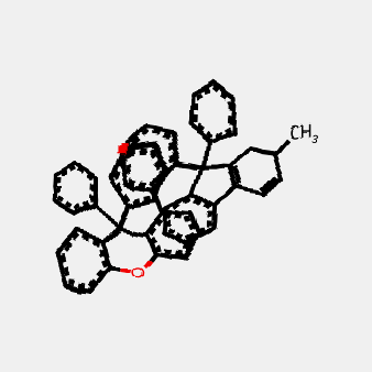 CC1C=CC2=C(C1)C(c1ccccc1)(c1ccccc1-c1cccc3c1C(c1ccccc1)(c1ccccc1)c1ccccc1O3)c1ccccc12